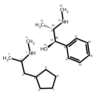 CNC(C)CC1CCCC1.CN[C@@H](C)[C@H](O)c1ccccc1